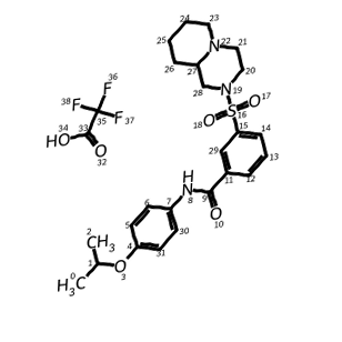 CC(C)Oc1ccc(NC(=O)c2cccc(S(=O)(=O)N3CCN4CCCCC4C3)c2)cc1.O=C(O)C(F)(F)F